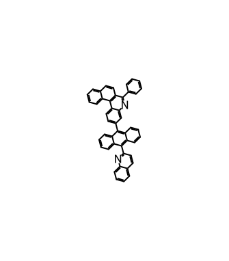 c1ccc(-c2nc3cc(-c4c5ccccc5c(-c5ccc6ccccc6n5)c5ccccc45)ccc3c3c2ccc2ccccc23)cc1